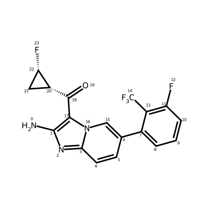 Nc1nc2ccc(-c3cccc(F)c3C(F)(F)F)cn2c1C(=O)[C@@H]1C[C@@H]1F